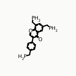 O=c1c(-c2ccc(CP)cc2)coc2c(CP)cc(CP)cc12